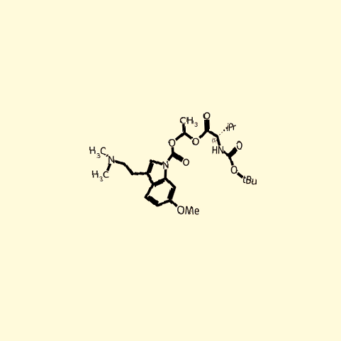 COc1ccc2c(CCN(C)C)cn(C(=O)OC(C)OC(=O)[C@@H](NC(=O)OC(C)(C)C)C(C)C)c2c1